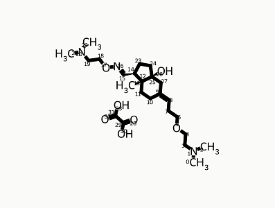 CN(C)CCOCCC=C1CC[C@]2(C)[C@@H](C=NOCCN(C)C)CC[C@]2(O)C1.O=C(O)C(=O)O